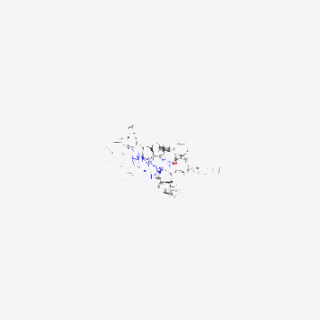 CC1=CC=CCC1c1cccc(C2N=C(c3ccccc3)N=C(c3cccc(C4C=CC=CC4C)c3-n3c4ccc(C(C)(C)C)cc4c4cc(C(C)(C)C)ccc43)N2)c1-n1c2ccc(C(C)(C)C)cc2c2cc(C(C)(C)C)ccc21